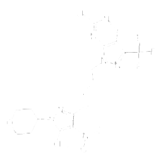 Cc1c([N+](=O)[O-])c(OCCCn2nc(C(F)(F)F)c3cnc(Cl)nc32)nn1C1CCOCC1